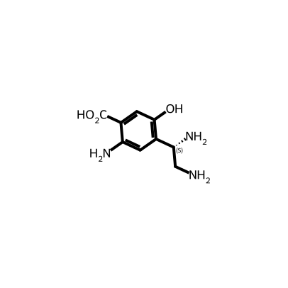 NC[C@@H](N)c1cc(N)c(C(=O)O)cc1O